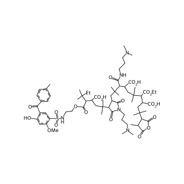 CCOC(=O)C(C(CC(C)(C)C1C(=O)OC(=O)C1C)C(=O)O)C(C)(C)CC(C(=O)O)C(C(=O)NCCCN(C)C)C(C)(C)CC1C(=O)N(CCCN(C)C)C(=O)C1C(C)(C)CC(C(=O)O)C(C(=O)OCCNS(=O)(=O)c1cc(C(=O)c2ccc(C)cc2)c(O)cc1OC)C(C)(C)CC